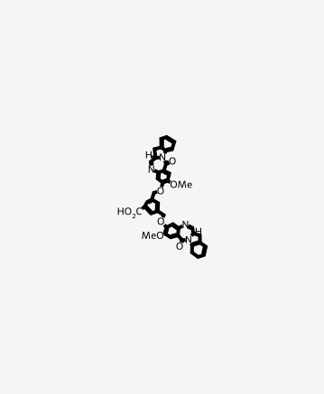 COc1cc2c(cc1OCc1cc(COc3cc4c(cc3OC)C(=O)N3c5ccccc5C[C@H]3C=N4)cc(C(=O)O)c1)N=C[C@@H]1CC3=C(CCC=C3)N1C2=O